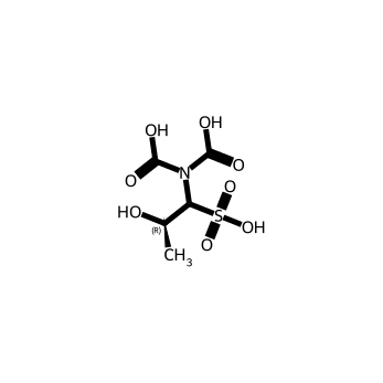 C[C@@H](O)C(N(C(=O)O)C(=O)O)S(=O)(=O)O